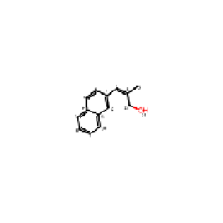 CC(=Cc1ccc2ccccc2c1)CO